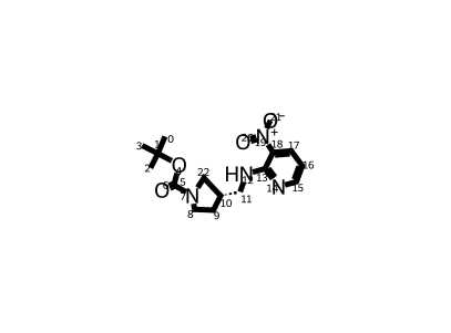 CC(C)(C)OC(=O)N1CC[C@@H](CNc2ncccc2[N+](=O)[O-])C1